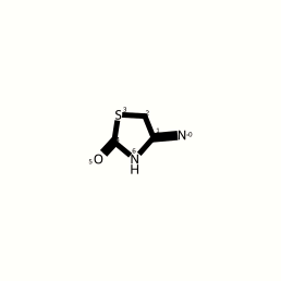 [N]=C1CSC(=O)N1